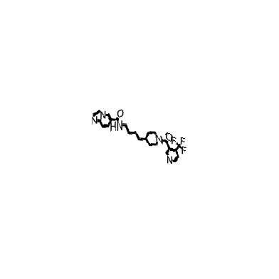 O=C(NCCCCC1CCN(C(=O)c2cnccc2C(F)(F)F)CC1)c1ccc2nccn2c1